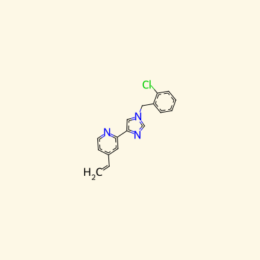 C=Cc1ccnc(-c2cn(Cc3ccccc3Cl)cn2)c1